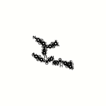 COc1ccc(S(=O)(=O)c2ccc(CNC(=O)c3cc4ccncc4s3)cc2)cc1.Cc1cc(C)cc(S(=O)(=O)c2ccc(CN(Cc3ccc(S(=O)(=O)c4ccc(C#N)cc4)cc3)C(=O)c3cc4ccncc4o3)cc2)c1.O=C(NCc1ccc(S(=O)(=O)c2ccc(F)cc2C(F)(F)F)cc1)c1cnc2nccn2c1